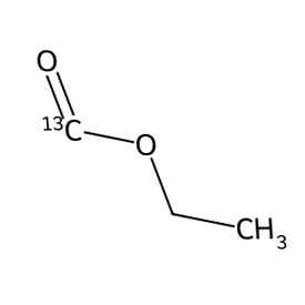 CCO[13CH]=O